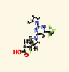 CC1CCN1c1nc(N2C[C@@H]3[C@H](C2)C3(F)CC(=O)O)cc(C(F)(F)F)n1